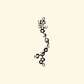 O=C1CCC(N2C(=O)c3ccc(N4CC(C5CCN(CCOc6ccc(-n7cc(-c8ccc9c(c8)CCC9=O)c(-c8ccncc8)n7)cc6)CC5)C4)cc3C2=O)C(=O)N1